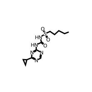 CCCCCS(=O)(=O)NC(=O)Nc1ncnc(C2CC2)n1